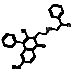 CCC(CNCCn1c(C#N)c(-c2ccccc2)c2cc(OC)ccc2c1=O)c1ccccc1